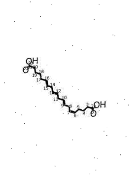 O=C(O)CCC/C=C\CC=CCC=CCC=CCCCCC(=O)O